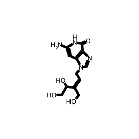 Nc1cc2c(ncn2C/C=C(/CO)C(O)CO)c(=O)[nH]1